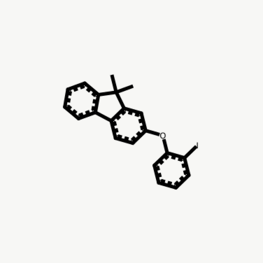 CC1(C)c2ccccc2-c2ccc(Oc3ccccc3I)cc21